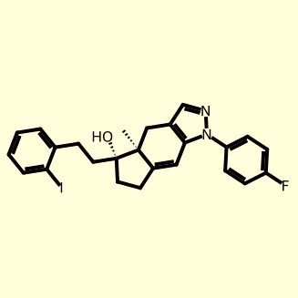 C[C@]12Cc3cnn(-c4ccc(F)cc4)c3C=C1CC[C@@]2(O)CCc1ccccc1I